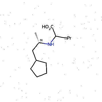 CCCC(N[C@@H](C)CC1CCCC1)C(=O)O